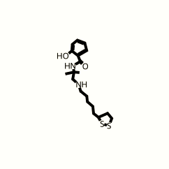 CC(C)(CNCCCCCC1CCSS1)NC(=O)c1ccccc1O